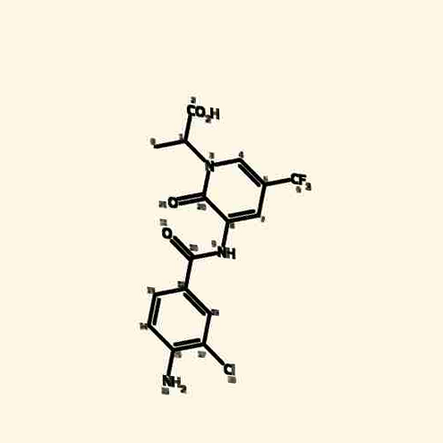 CC(C(=O)O)n1cc(C(F)(F)F)cc(NC(=O)c2ccc(N)c(Cl)c2)c1=O